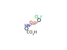 O=C(CNc1cccc(C(=O)O)c1)COCc1ccc(F)c(Cl)c1